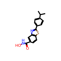 CC(C)c1ccc(-c2nc3cc(C(=O)NO)ccc3s2)cc1